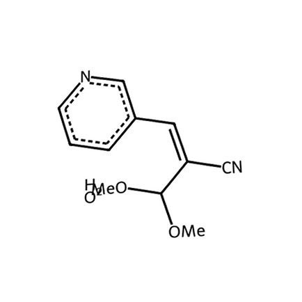 COC(OC)C(C#N)=Cc1cccnc1.O